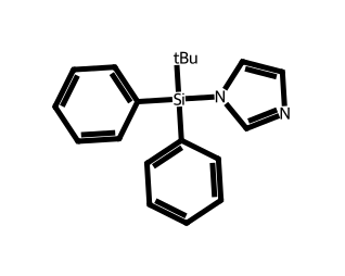 CC(C)(C)[Si](c1ccccc1)(c1ccccc1)n1ccnc1